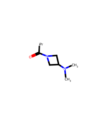 CC(C)C(=O)N1CC(N(C)C)C1